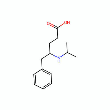 CC(C)NC(CCC(=O)O)Cc1ccccc1